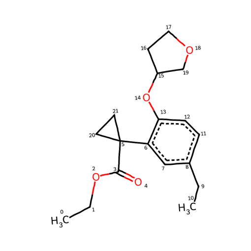 CCOC(=O)C1(c2cc(CC)ccc2OC2CCOC2)CC1